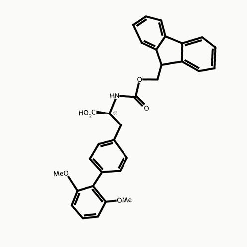 COc1cccc(OC)c1-c1ccc(C[C@H](NC(=O)OCC2c3ccccc3-c3ccccc32)C(=O)O)cc1